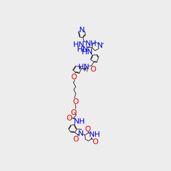 C[C@@H](NC(=O)c1cccc(NC2(C(=N)NC(=N)c3ccncc3)CCN(C)CC2)c1)c1cccc(OCCCCCCOCCOCC(=O)Nc2cccc3c2CN(C2CCC(=O)NC2=O)C3=O)c1